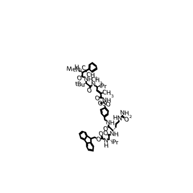 CN[C@H](C(=O)N[C@H](C(=O)N(C)[C@H](/C=C(\C)C(=O)NS(=O)(=O)c1ccc(CNC(=O)[C@H](CCCNC(N)=O)NC(=O)[C@@H](NC(=O)OCC2c3ccccc3-c3ccccc32)C(C)C)cc1)C(C)C)C(C)(C)C)C(C)(C)c1ccccc1